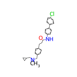 CN(Cc1ccc(CCC(=O)Nc2ccc(-c3ccc(Cl)cc3)cc2)cc1)CC1CC1